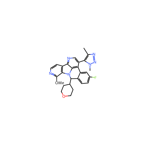 COc1nccc2c3ncc(-c4c(C)nnn4C)c4c3n(c12)C(C1CCOCC1)c1ccc(F)cc1-4